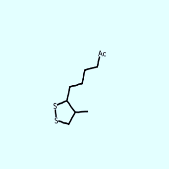 CC(=O)CCCCC1SSCC1C